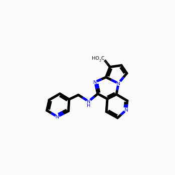 O=C(O)c1ccn2c1nc(NCc1cccnc1)c1ccncc12